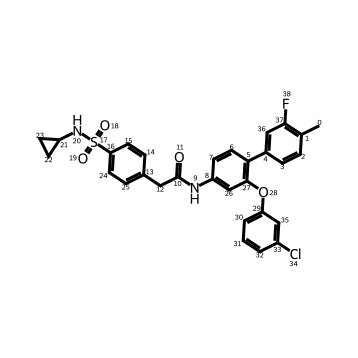 Cc1ccc(-c2ccc(NC(=O)Cc3ccc(S(=O)(=O)NC4CC4)cc3)cc2Oc2cccc(Cl)c2)cc1F